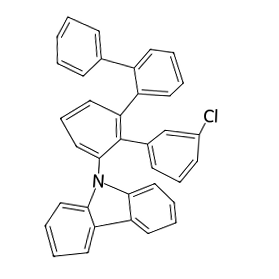 Clc1cccc(-c2c(-c3ccccc3-c3ccccc3)cccc2-n2c3ccccc3c3ccccc32)c1